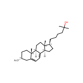 CC(=O)O[C@@H]1CC[C@@]2(C)C(=CC=C3[C@@H]4CC[C@H](CCCCC(C)(C)O)[C@@]4(C)CC[C@@H]32)C1